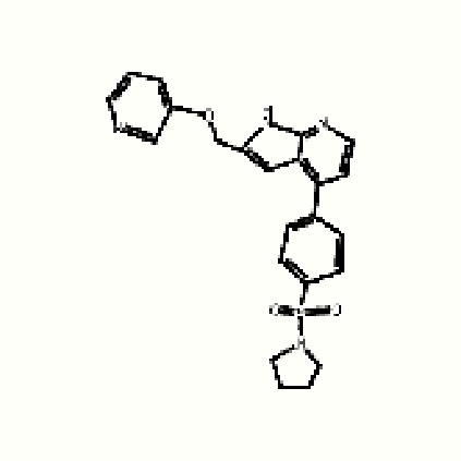 O=S(=O)(c1ccc(-c2ccnc3[nH]c(COc4cccnc4)cc23)cc1)N1CCCC1